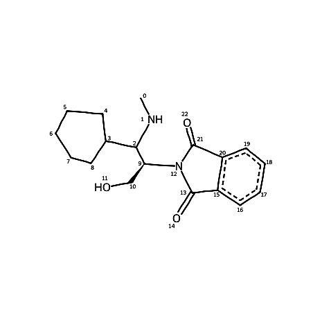 CNC(C1CCCCC1)[C@H](CO)N1C(=O)c2ccccc2C1=O